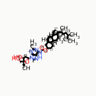 C#C[C@]1(CO)O[C@@H](n2cnc3c(NC(=O)O[C@H]4CC[C@@]5(C)C(=CC[C@H]6[C@@H]7CC[C@H]([C@H](C)CC[C@@H](C)C(C)C)[C@@]7(C)CC[C@@H]65)C4)nc(C)nc32)C[C@@H]1O